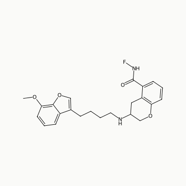 COc1cccc2c(CCCCNC3COc4cccc(C(=O)NF)c4C3)coc12